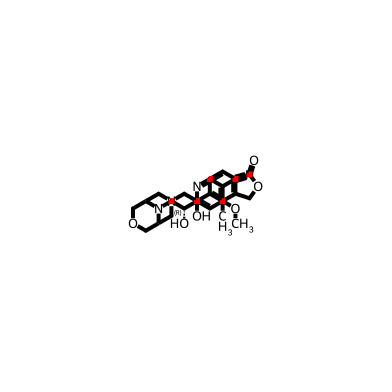 COc1cc([C@H](O)CN2C3COCC2CN(CC(O)c2ccc4c(c2C)COC4=O)C3)ncc1C#N